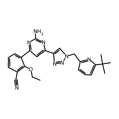 CCOc1c(C#N)cccc1-c1cc(-c2cn(Cc3cccc(C(C)(C)C)n3)nn2)nc(N)n1